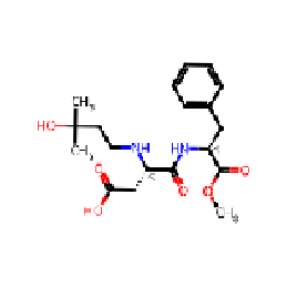 COC(=O)[C@H](Cc1ccccc1)NC(=O)[C@H](CC(=O)O)NCCC(C)(C)O